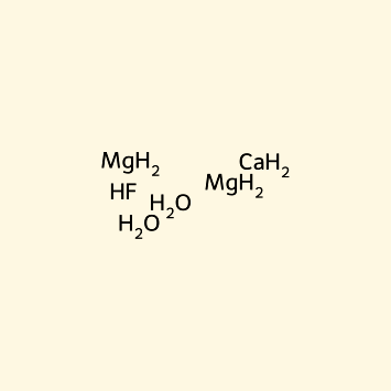 F.O.O.[CaH2].[MgH2].[MgH2]